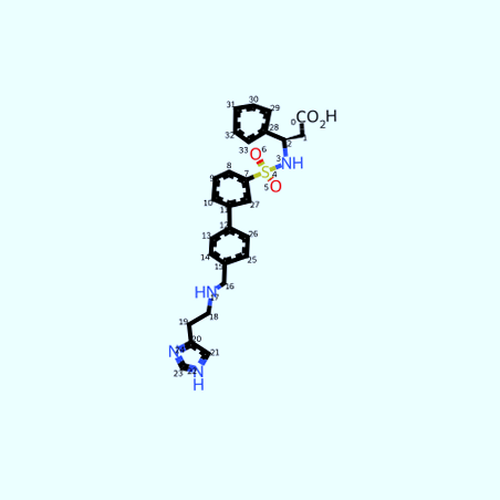 O=C(O)C[C@@H](NS(=O)(=O)c1cccc(-c2ccc(CNCCc3c[nH]cn3)cc2)c1)c1ccccc1